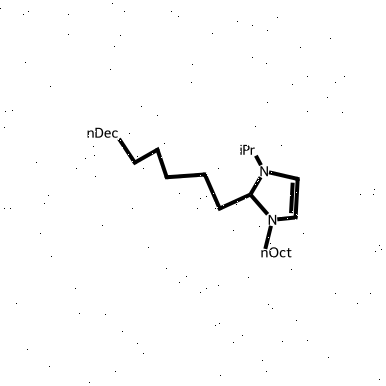 CCCCCCCCCCCCCCCC1N(CCCCCCCC)C=CN1C(C)C